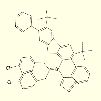 CC(C)(C)c1cc2c(cc1-c1ccccc1)Cc1c-2cc(C(C)(C)C)c(-c2ccccc2)[c]1[Zr]([C]1=CC=CC1)=[C](Cc1ccc(Cl)cc1)Cc1ccc(Cl)cc1